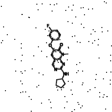 Cn1c(=O)c(Oc2cccc(F)c2)cc2cnc(NC3CCCC3)nc21